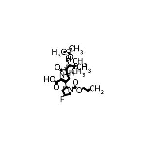 C=CCOC(=O)N1CC(F)C[C@H]1C1=C(C(=O)O)N2C(=O)[C@@H]([C@@H](CO[SiH](C)C)C(C)(C)C)[C@H]2C1